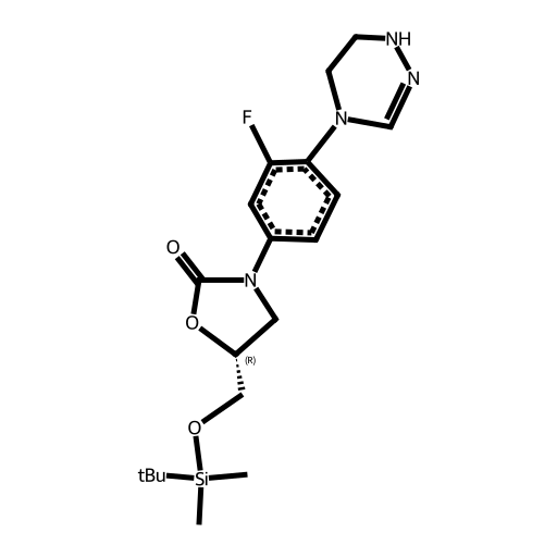 CC(C)(C)[Si](C)(C)OC[C@H]1CN(c2ccc(N3C=NNCC3)c(F)c2)C(=O)O1